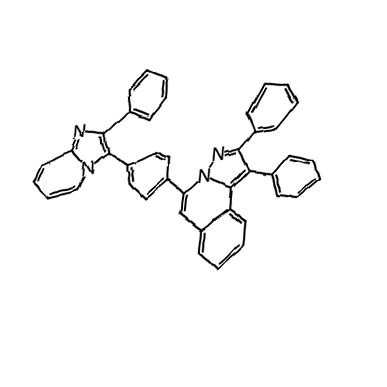 c1ccc(-c2nn3c(-c4ccc(-c5c(-c6ccccc6)nc6ccccn56)cc4)cc4ccccc4c3c2-c2ccccc2)cc1